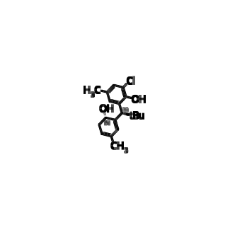 CC1=CC[C@H](O)C([C@@H](c2cc(C)cc(Cl)c2O)C(C)(C)C)=C1